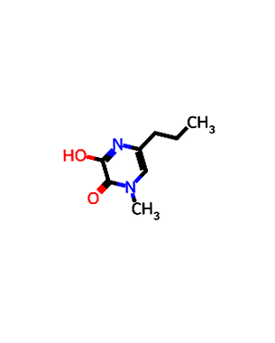 CCCc1cn(C)c(=O)c(O)n1